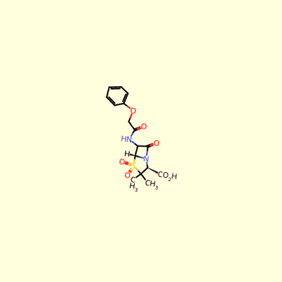 CC1(C)[C@H](C(=O)O)N2C(=O)C(NC(=O)COc3ccccc3)[C@H]2S1(=O)=O